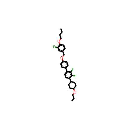 CCCCOc1ccc(COc2ccc(-c3ccc(C4CCC(OCCC)CC4)c(F)c3F)cc2)cc1F